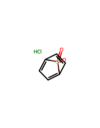 Cl.O=S1(=O)C2=CC=C1C=C2